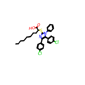 CCCCCCCCC(Sc1nc(-c2ccc(Cl)cc2)c(-c2ccc(Cl)cc2)n1-c1ccccc1)C(=O)O